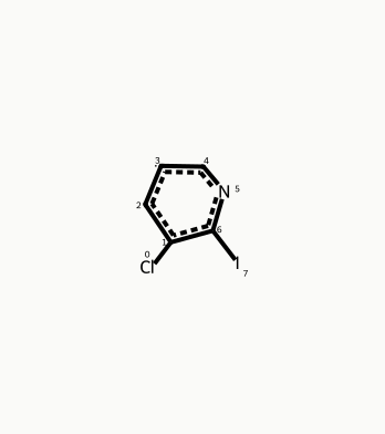 Clc1c[c]cnc1I